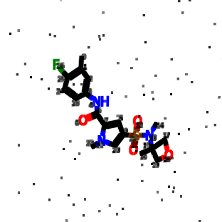 Cc1cc(NC(=O)c2cc(S(=O)(=O)N(C)C3(C)COC3)cn2C)ccc1F